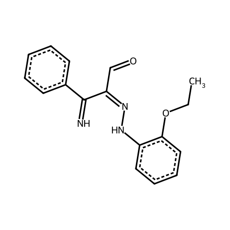 CCOc1ccccc1N/N=C(/C=O)C(=N)c1ccccc1